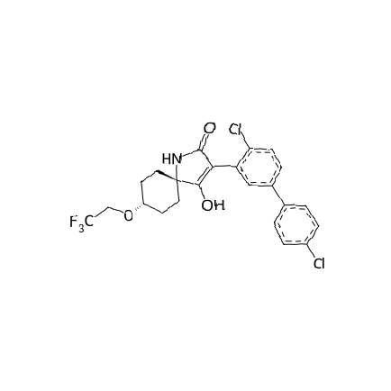 O=C1N[C@]2(CC[C@@H](OCC(F)(F)F)CC2)C(O)=C1c1cc(-c2ccc(Cl)cc2)ccc1Cl